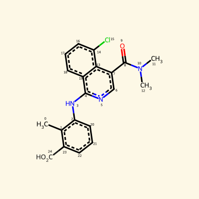 Cc1c(Nc2ncc(C(=O)N(C)C)c3c(Cl)cccc23)cccc1C(=O)O